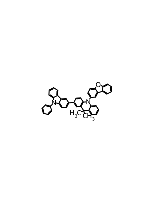 CC1(C)c2ccccc2N(c2ccc3oc4ccccc4c3c2)c2ccc(-c3ccc4c(c3)c3ccccc3n4-c3ccccc3)cc21